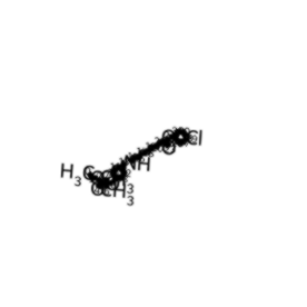 CCOC(=O)C(C)(C)Oc1ccc(CNCCCCCCCC(=O)Oc2ccc(Cl)cc2)cc1